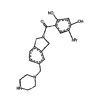 CCCc1cc(C(=O)N2Cc3ccc(CN4CCNCC4)cc3C2)c(O)cc1O